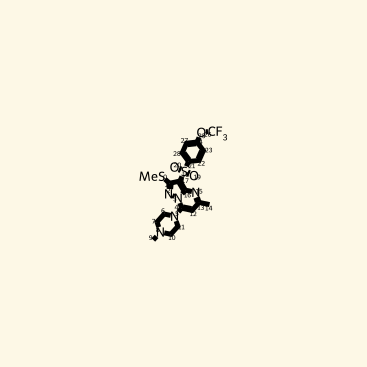 CSc1nn2c(N3CCN(C)CC3)cc(C)nc2c1S(=O)(=O)c1ccc(OC(F)(F)F)cc1